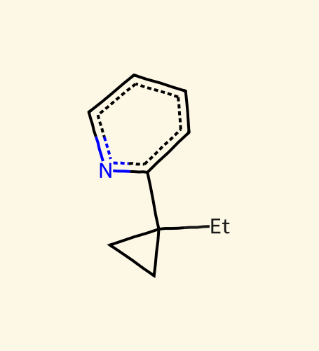 CCC1(c2ccccn2)CC1